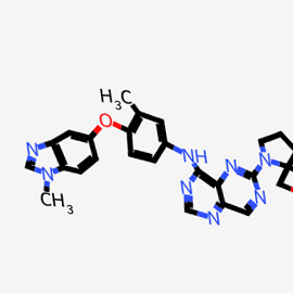 Cc1cc(Nc2ncnc3cnc(N4CCCC45COC5)nc23)ccc1Oc1ccc2c(c1)ncn2C